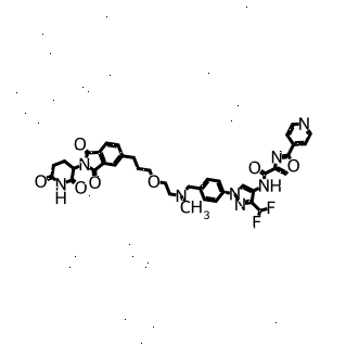 CN(CCOCCCc1ccc2c(c1)C(=O)N(C1CCC(=O)NC1=O)C2=O)Cc1ccc(-n2cc(NC(=O)c3coc(-c4ccncc4)n3)c(C(F)F)n2)cc1